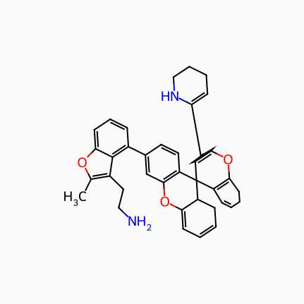 Cc1oc2cccc(-c3ccc4c(c3)OC3=CC=CCC3C43C4=C(CCC=C4)OC4=C3CCC(C3=CCCCN3)C4)c2c1CCN